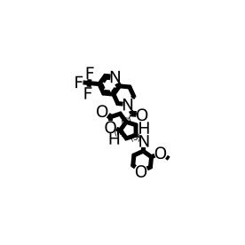 COC1COCCC1N[C@@H]1C[C@H]2OC(=O)C[C@@]2(C(=O)N2CCc3ncc(C(F)(F)F)cc3C2)C1